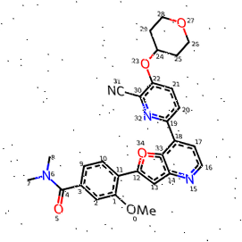 COc1cc(C(=O)N(C)C)ccc1-c1cc2nccc(-c3ccc(OC4CCOCC4)c(C#N)n3)c2o1